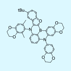 Cc1cc2c(c(C)c1N1c3cccc4c3B(c3cc5c(cc3N4c3ccc4c(c3)OCCO4)OCCO5)c3oc4ccc(C(C)(C)C)cc4c31)OCCO2